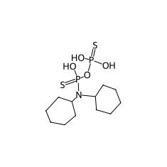 OP(O)(=S)OP(O)(=S)N(C1CCCCC1)C1CCCCC1